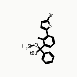 Cc1c(-c2ccc(Br)s2)cccc1C(O[SiH3])(c1ccccc1)C(C)(C)C